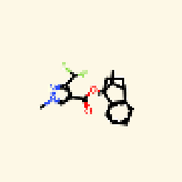 CC1C2CC[C@]1(OC(=O)c1cn(C)nc1C(F)F)c1ccccc12